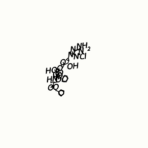 CC(C)(NP(=O)(Oc1ccccc1)OP(=O)(O)OCC1OC2C(C1O)C2n1cnc2c(N)nc(Cl)nc21)C(=O)OCc1ccccc1